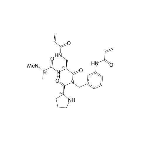 C=CC(=O)NC[C@H](NC(=O)[C@H](C)NC)C(=O)N(Cc1cccc(NC(=O)C=C)c1)C(=O)[C@@H]1CCCN1